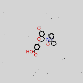 COc1ccc2c(c1)O[C@@H](c1ccc(C(=O)O)cc1)C[C@H]2NC(=O)C1(c2ccccc2)CCCC1